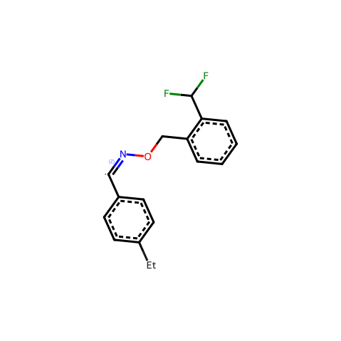 CCc1ccc(/[C]=N\OCc2ccccc2C(F)F)cc1